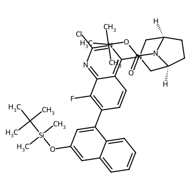 CC(C)(C)OC(=O)N1[C@@H]2CC[C@H]1CN(c1nc(Cl)nc3c(F)c(-c4cc(O[Si](C)(C)C(C)(C)C)cc5ccccc45)ccc13)C2